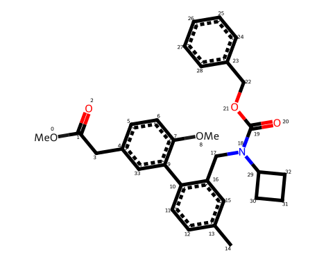 COC(=O)Cc1ccc(OC)c(-c2ccc(C)cc2CN(C(=O)OCc2ccccc2)C2CCC2)c1